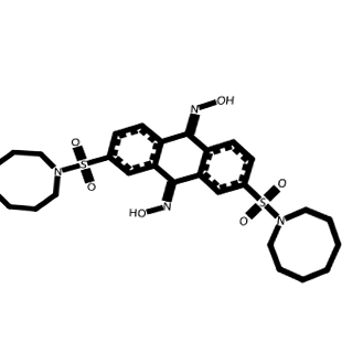 O=S(=O)(c1ccc2c(c1)C(=NO)c1cc(S(=O)(=O)N3CCCCCCC3)ccc1C2=NO)N1CCCCCCC1